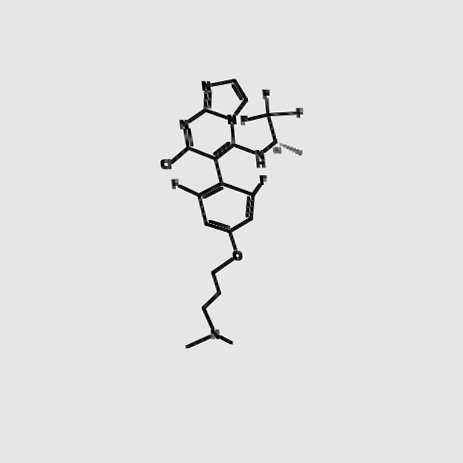 C[C@H](Nc1c(-c2c(F)cc(OCCCN(C)C)cc2F)c(Cl)nc2nccn12)C(F)(F)F